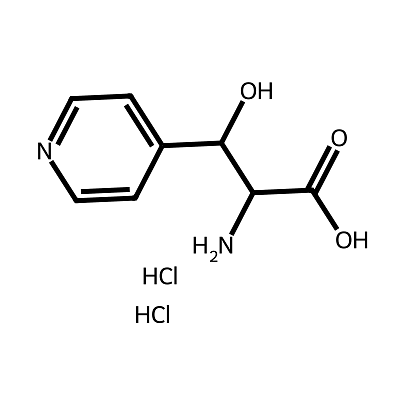 Cl.Cl.NC(C(=O)O)C(O)c1ccncc1